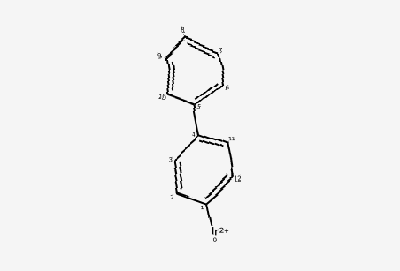 [Ir+2][c]1ccc(-c2ccccc2)cc1